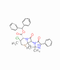 CC1(C)NC(c2ccccc2)C(=O)N1[C@@H]1C(=O)N2[C@@H](C(=O)OC(c3ccccc3)c3ccccc3)[C@](C)(Cl)CS[C@@H]12